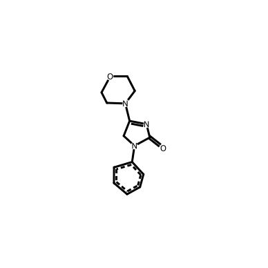 O=C1N=C(N2CCOCC2)CN1c1ccccc1